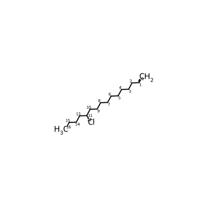 C=CCCCCCCCCCC(Cl)CCCC